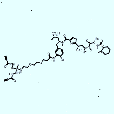 C#CC(=O)NNP(=O)(NCCOCCOCCC(=O)Nc1cc(C[C@@H](CC(C)C(=O)O)NC(=O)c2csc([C@@H](C[C@H](C(C)C)N(C)C(=O)[C@@H](NC(=O)C3CCCCN3C)[C@@H](C)CC)OC(C)=O)n2)ccc1O)NNC(=O)C#C